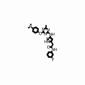 Cc1nc(Nc2cc(CC(=O)Nc3cccc(F)c3)[nH]n2)nc(Oc2ccc(N(C)C)cc2)n1